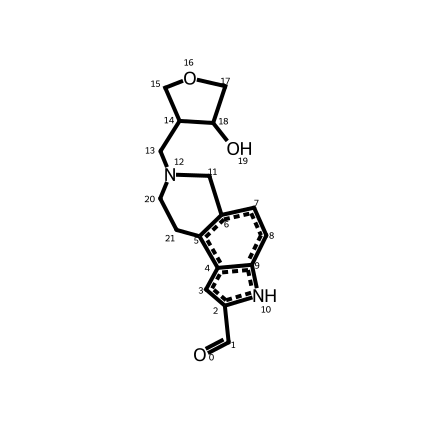 O=Cc1cc2c3c(ccc2[nH]1)CN(CC1COCC1O)CC3